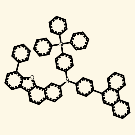 c1ccc(-c2cccc3c2oc2c4cc(N(c5ccc(-c6cc7ccccc7c7ccccc67)cc5)c5ccc([Si](c6ccccc6)(c6ccccc6)c6ccccc6)cc5)ccc4ccc32)cc1